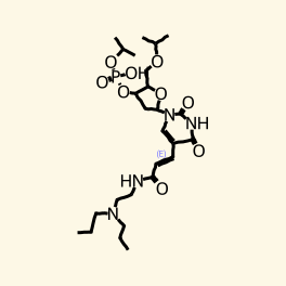 CCCN(CCC)CCNC(=O)/C=C/c1cn(C2CC(OP(=O)(O)OC(C)C)C(COC(C)C)O2)c(=O)[nH]c1=O